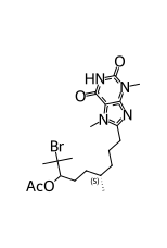 CC(=O)OC(CC[C@@H](C)CCCc1nc2c(c(=O)[nH]c(=O)n2C)n1C)C(C)(C)Br